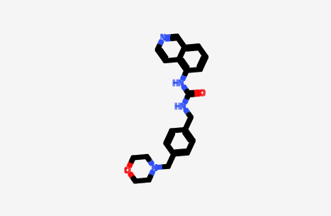 O=C(NCc1ccc(CN2CCOCC2)cc1)Nc1cccc2cnccc12